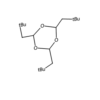 CC(C)(C)CC1OC(CC(C)(C)C)OC(CC(C)(C)C)O1